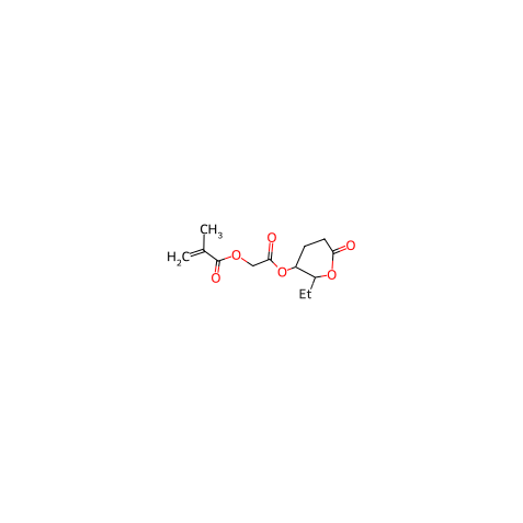 C=C(C)C(=O)OCC(=O)OC1CCC(=O)OC1CC